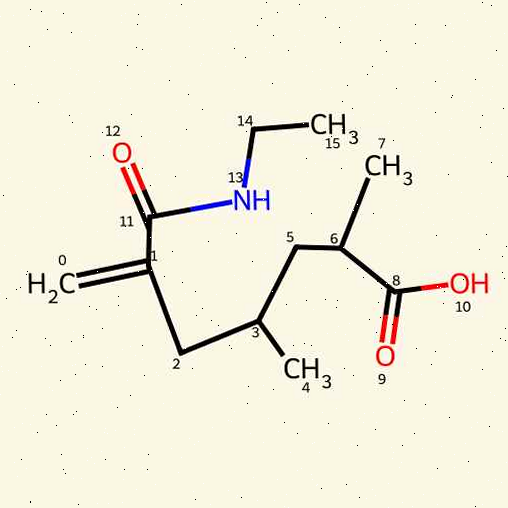 C=C(CC(C)CC(C)C(=O)O)C(=O)NCC